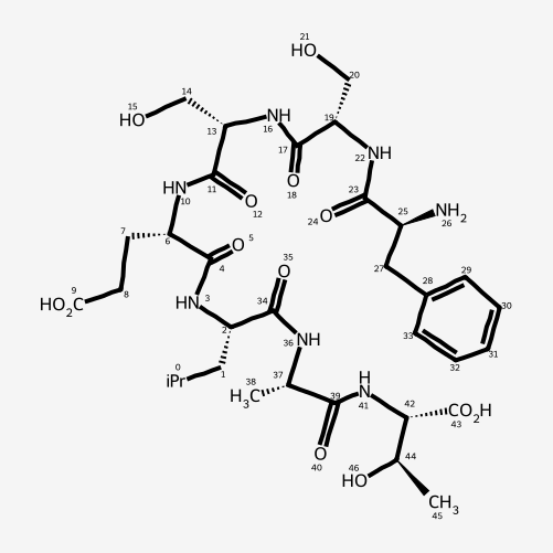 CC(C)C[C@H](NC(=O)[C@H](CCC(=O)O)NC(=O)[C@H](CO)NC(=O)[C@H](CO)NC(=O)[C@@H](N)Cc1ccccc1)C(=O)N[C@@H](C)C(=O)N[C@H](C(=O)O)[C@@H](C)O